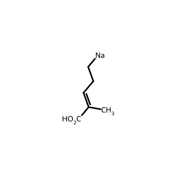 CC(=CC[CH2][Na])C(=O)O